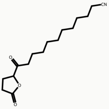 N#CCCCCCCCCCCC(=O)C1CCC(=O)O1